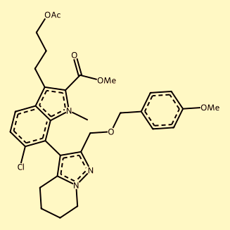 COC(=O)c1c(CCCOC(C)=O)c2ccc(Cl)c(-c3c(COCc4ccc(OC)cc4)nn4c3CCCC4)c2n1C